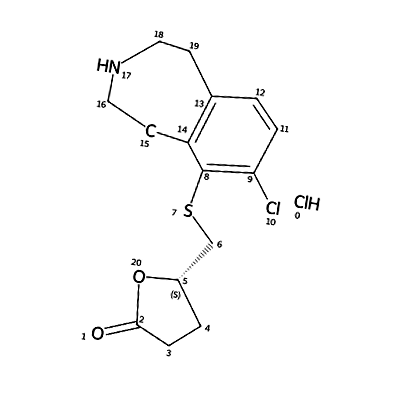 Cl.O=C1CC[C@@H](CSc2c(Cl)ccc3c2CCNCC3)O1